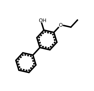 CCOc1ccc(-c2ccccc2)cc1O